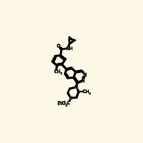 CCOC(=O)N1CCN(c2nncc3cc(-c4cc(C(=O)NC5CC5)ccc4C)ccc23)[C@@H](C)C1